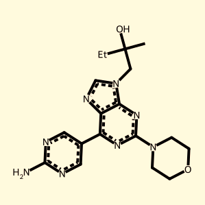 CCC(C)(O)Cn1cnc2c(-c3cnc(N)nc3)nc(N3CCOCC3)nc21